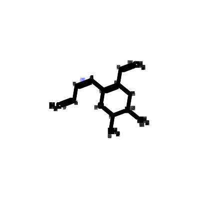 BC1OC(/C=C\C=C)=C(C=C)CN1B